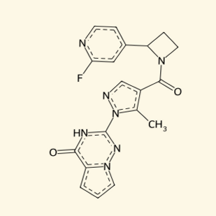 Cc1c(C(=O)N2CCC2c2ccnc(F)c2)cnn1-c1nn2cccc2c(=O)[nH]1